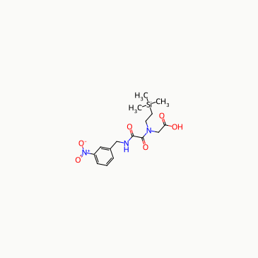 C[Si](C)(C)CCN(CC(=O)O)C(=O)C(=O)NCc1cccc([N+](=O)[O-])c1